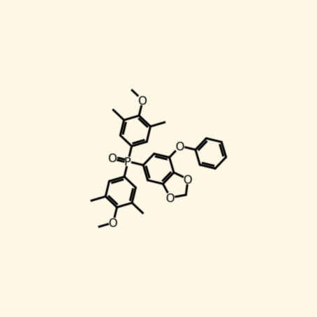 COc1c(C)cc(P(=O)(c2cc(C)c(OC)c(C)c2)c2cc3c(c(Oc4ccccc4)c2)OCO3)cc1C